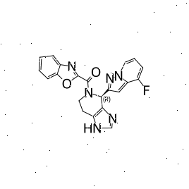 O=C(c1nc2ccccc2o1)N1CCc2[nH]cnc2[C@@H]1c1cc2c(F)cccn2n1